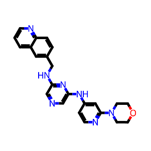 c1cnc2ccc(CNc3cncc(Nc4ccnc(N5CCOCC5)c4)n3)cc2c1